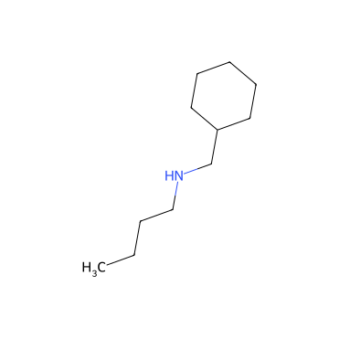 CCCCNCC1CCCCC1